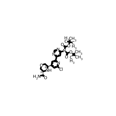 CC(C)(C)OC(=O)N(C(=O)OC(C)(C)C)c1cc(-c2cc([C@@H]3COC[C@@H](C(N)=O)N3)cc(Cl)n2)ncn1